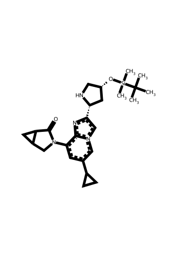 CC(C)(C)[Si](C)(C)O[C@H]1CN[C@@H](c2cn3cc(C4CC4)cc(N4CC5CC5C4=O)c3n2)C1